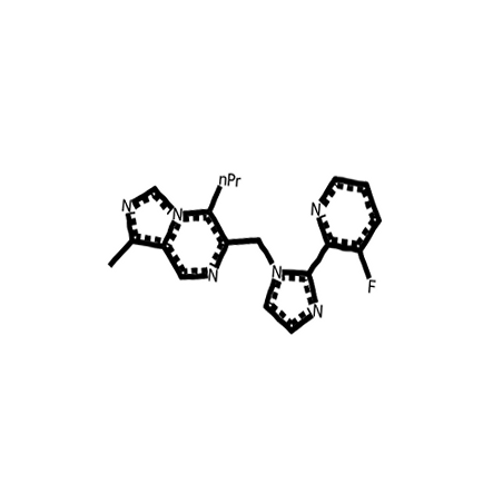 CCCc1c(Cn2ccnc2-c2ncccc2F)ncc2c(C)ncn12